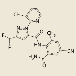 Cc1cc(C#N)cc(C(N)=O)c1NC(=O)c1cc(C(F)F)nn1-c1ncccc1Cl